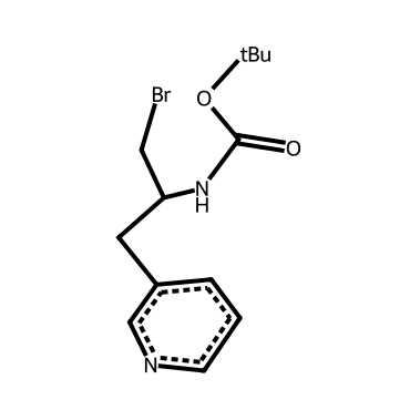 CC(C)(C)OC(=O)NC(CBr)Cc1cccnc1